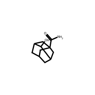 NC(=O)C12[CH]C3CC(C1)C(O)C(C3)C2